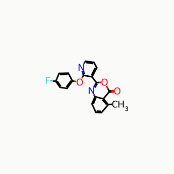 Cc1cccc2nc(-c3cccnc3Oc3ccc(F)cc3)oc(=O)c12